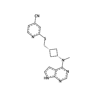 CN(c1ncnc2[nH]ccc12)[C@H]1C[C@@H](CSc2cc(C#N)ccn2)C1